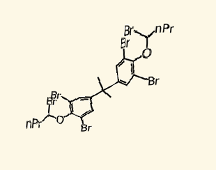 CCCC(Br)Oc1c(Br)cc(C(C)(C)c2cc(Br)c(OC(Br)CCC)c(Br)c2)cc1Br